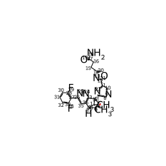 CC1(C)[C@H]2CC[C@]1(c1cncc(-c3nc(CCC(N)=O)co3)n1)c1nnc(-c3c(F)cccc3F)cc12